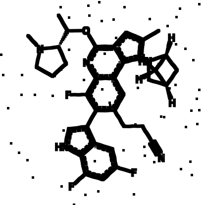 Cc1cc2c(OC(C)[C@@H]3CCCN3C)nc3c(F)c(-c4c[nH]c5c(F)cc(F)cc45)c(CCC#N)cc3c2n1[C@H]1[C@H]2CN[C@@H]1C2